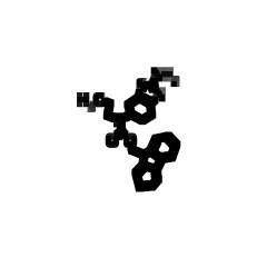 CCCN(C(=O)OCC1c2ccccc2-c2ccccc21)C1CCc2nc(N)sc2C1